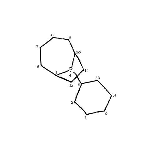 C1CCC(P2C3CCCCC2CC3)CC1